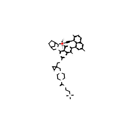 Cc1cc(-c2nc(OC(C)C)c3c(N4CC5CCC(C5)C4)nc(OCC4(CN5CCN(C(=O)OCC[Si](C)(C)C)CC5)CC4)nc3c2F)c2c(C#C[Si](C(C)C)(C(C)C)C(C)C)c(F)ccc2c1